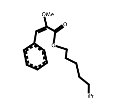 COC(=Cc1ccccc1)C(=O)OCCCCCC(C)C